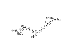 CCCCCCC(CCCCCC)CCOC(=O)CCCCCCCN(CCO)CCCCCCCC(=O)OCCC(CCCCCC)CCCCCC